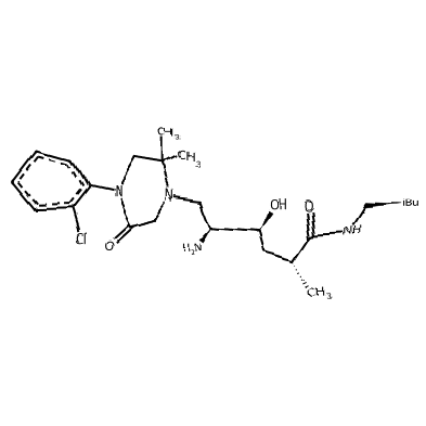 CC[C@H](C)CNC(=O)[C@H](C)C[C@H](O)[C@@H](N)CN1CC(=O)N(c2ccccc2Cl)CC1(C)C